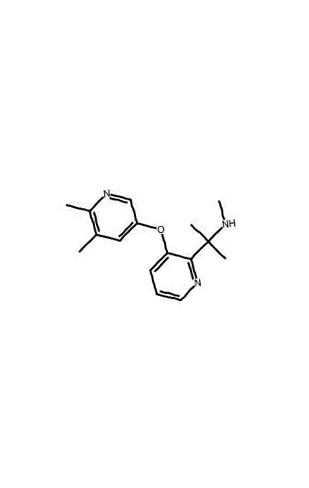 CNC(C)(C)c1ncccc1Oc1cnc(C)c(C)c1